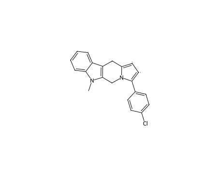 Cn1c2c(c3ccccc31)Cc1[c][c]c(-c3ccc(Cl)cc3)n1C2